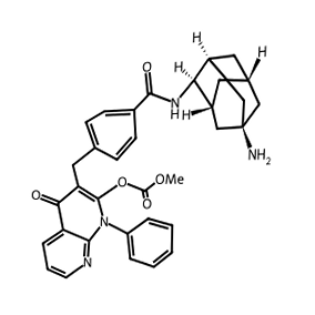 COC(=O)Oc1c(Cc2ccc(C(=O)N[C@@H]3[C@@H]4C[C@@H]5C[C@H]3C[C@](N)(C5)C4)cc2)c(=O)c2cccnc2n1-c1ccccc1